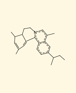 CCC(C)c1ccc2c3[n+](cc(C)c2c1)CCC1C3=CC(C)=CC1C